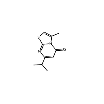 Cc1csc2nc(C(C)C)cc(=O)n12